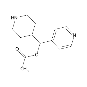 CC(=O)OC(c1ccncc1)C1CCNCC1